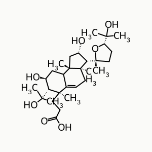 CC(C)(O)[C@@H]1CC[C@](C)([C@H]2[C@@H](O)C[C@@]3(C)C4C[C@H](O)[C@@H](C(C)(C)O)[C@](C)(CCC(=O)O)C4=CC[C@]23C)O1